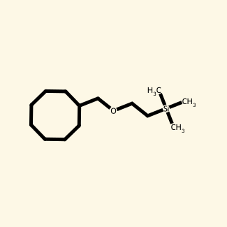 C[Si](C)(C)CCOC[C]1CCCCCCC1